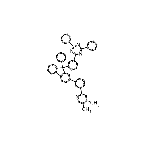 Cc1cnc(-c2cccc(-c3ccc4c(c3)C(c3ccccc3)(c3cccc(-c5nc(-c6ccccc6)nc(-c6ccccc6)n5)c3)c3ccccc3-4)c2)cc1C